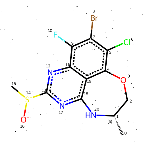 C[C@H]1COc2c(Cl)c(Br)c(F)c3nc([S+](C)[O-])nc(c23)N1